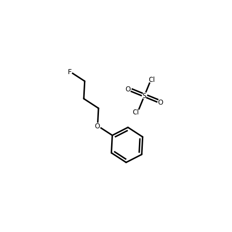 FCCCOc1ccccc1.O=S(=O)(Cl)Cl